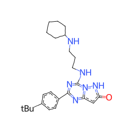 CC(C)(C)c1ccc(-c2nc(NCCCNC3CCCCC3)n3[nH]c(=O)cc3n2)cc1